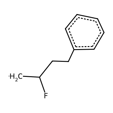 [CH2]C(F)CCc1ccccc1